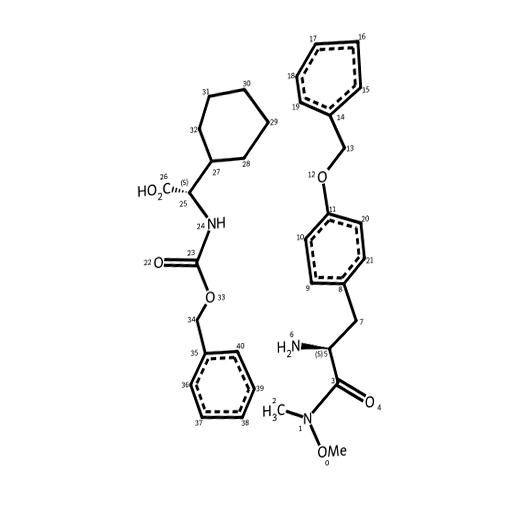 CON(C)C(=O)[C@@H](N)Cc1ccc(OCc2ccccc2)cc1.O=C(N[C@H](C(=O)O)C1CCCCC1)OCc1ccccc1